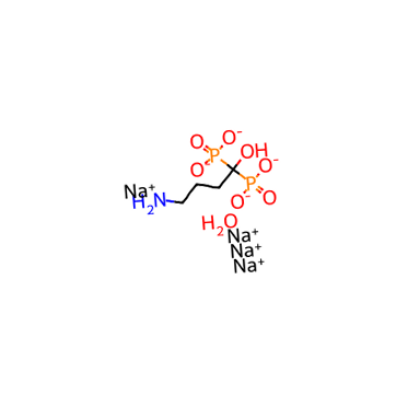 NCCCC(O)(P(=O)([O-])[O-])P(=O)([O-])[O-].O.[Na+].[Na+].[Na+].[Na+]